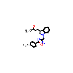 COC(=O)CCC1CN(Cc2noc(-c3ccc(C(F)(F)F)cc3)n2)c2ccccc21